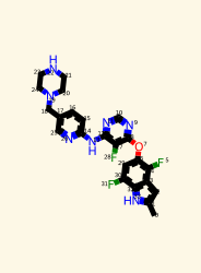 Cc1cc2c(F)c(Oc3ncnc(Nc4ccc(CN5CCNCC5)cn4)c3F)cc(F)c2[nH]1